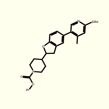 CSc1cc(C)c(-c2ccc3c(c2)CC(C2CCN(C(=O)OC(C)C)CC2)O3)cn1